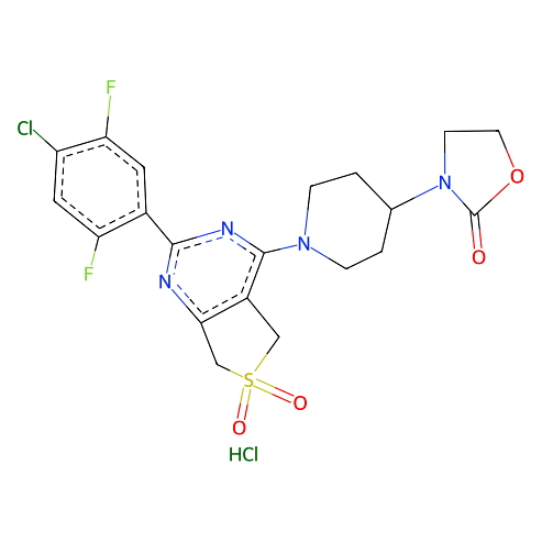 Cl.O=C1OCCN1C1CCN(c2nc(-c3cc(F)c(Cl)cc3F)nc3c2CS(=O)(=O)C3)CC1